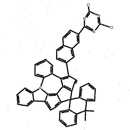 CC1(C)c2ccccc2C2(c3ccccc31)c1ccc(-c3ccc4ccc(-c5nc(Cl)nc(Cl)n5)cc4c3)c3c1-c1c2ccc2c4ccccc4n(c12)-c1ccccc1-3